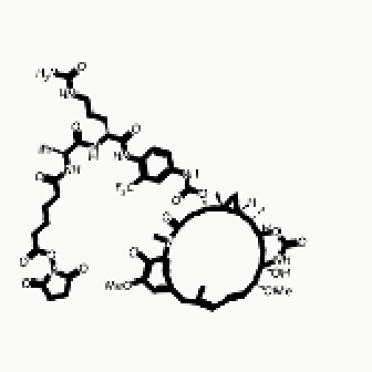 COc1cc2cc(c1Cl)N(C)C(=O)C[C@H](OC(=O)Nc1ccc(NC(=O)[C@H](CCCNC(N)=O)NC(=O)[C@@H](NC(=O)CCCCC(=O)ON3C(=O)CCC3=O)C(C)C)c(C(F)(F)F)c1)[C@]1(C)C[C@H]1[C@H](C)[C@@H]1C[C@@](O)(NC(=O)O1)[C@H](OC)/C=C/C=C(\C)C2